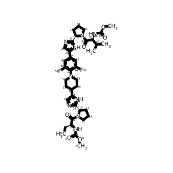 CC[C@H](NC(=O)OC)C(=O)N1CCC[C@H]1c1ncc(C2CCN(c3c(F)cc(-c4cnc([C@@H]5CCCN5C(=O)[C@@H](NC(=O)OC)C(C)C)[nH]4)cc3F)CC2)[nH]1